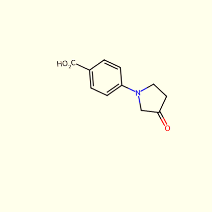 O=C1CCN(c2ccc(C(=O)O)cc2)C1